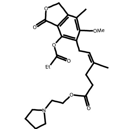 CCC(=O)Oc1c(CC=C(C)CCC(=O)OCCN2CCCC2)c(OC)c(C)c2c1C(=O)OC2